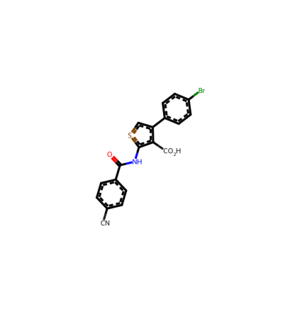 N#Cc1ccc(C(=O)Nc2scc(-c3ccc(Br)cc3)c2C(=O)O)cc1